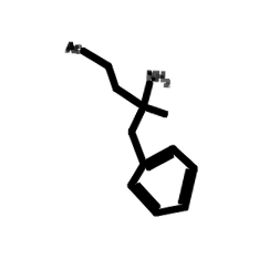 CC(=O)CCC(C)(N)Cc1ccccc1